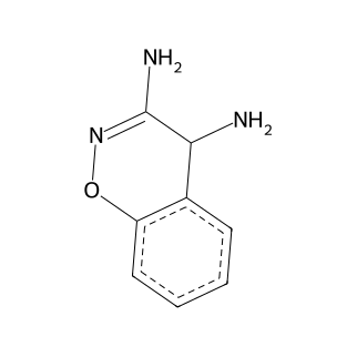 NC1=NOc2ccccc2C1N